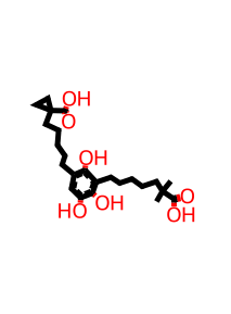 CC(C)(CCCCCc1c(O)c(O)cc(CCCCCC2(C(=O)O)CC2)c1O)C(=O)O